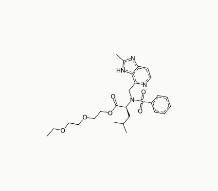 CCOCCOCCOC(=O)[C@H](CC(C)C)N(Cc1nccc2nc(C)[nH]c12)S(=O)(=O)c1ccccc1